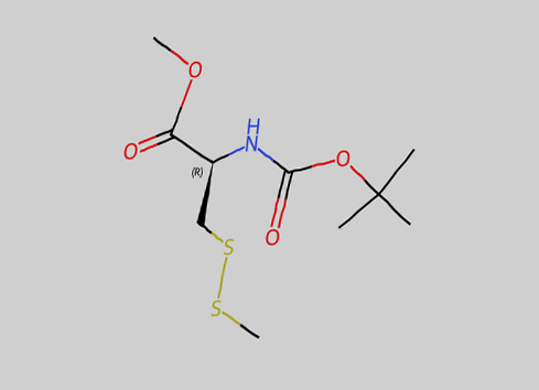 COC(=O)[C@H](CSSC)NC(=O)OC(C)(C)C